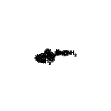 C[C@H](NC(=O)c1c(N)nn2cccnc12)c1cc2cccc(C#Cc3cnn(CCN4CCC(N)CC4)c3)c2c(=O)n1-c1ccccc1